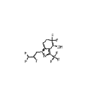 O[C@H]1c2c(C(F)(F)F)nn(CC(F)C(F)F)c2CCC1(F)F